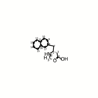 CN[C@@H](CC(=O)O)Cc1ccc2ccccc2c1